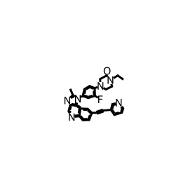 CCN1CCN(c2ccc(-n3c(C)nc4cnc5ccc(C#Cc6cccnc6)cc5c43)cc2F)CC1=O